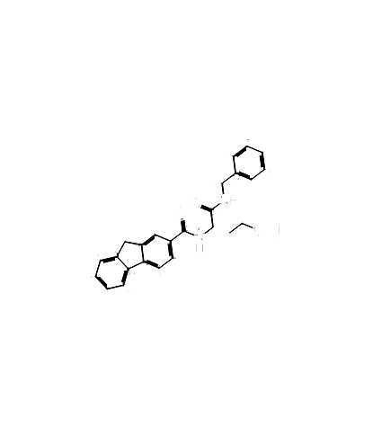 O=C(O)CC[C@H](NC(=O)c1ccc2c(c1)Cc1ccccc1-2)C(=O)NCc1ccccc1